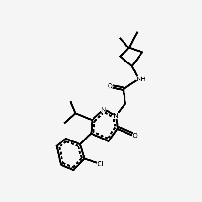 CC(C)c1nn(CC(=O)NC2CC(C)(C)C2)c(=O)cc1-c1ccccc1Cl